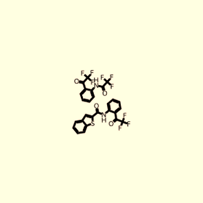 O=C(Nc1ccccc1C(=O)C(F)(F)F)C(F)(F)F.O=C(Nc1ccccc1C(=O)C(F)(F)F)c1cc2ccccc2s1